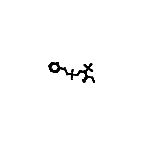 CCC(=O)N(CCC(C)(C)SSc1ccccn1)C(C)(C)C